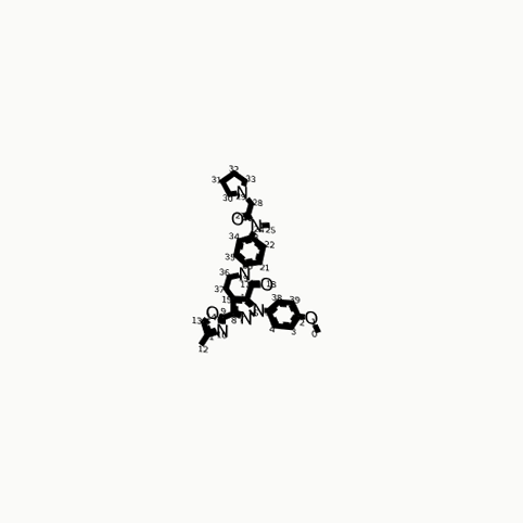 COc1ccc(-n2nc(-c3nc(C)co3)c3c2C(=O)N(c2ccc(N(C)C(=O)CN4CCCC4)cc2)CC3)cc1